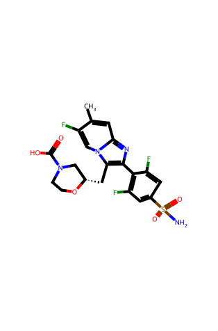 Cc1cc2nc(-c3c(F)cc(S(N)(=O)=O)cc3F)c(C[C@H]3CN(C(=O)O)CCO3)n2cc1F